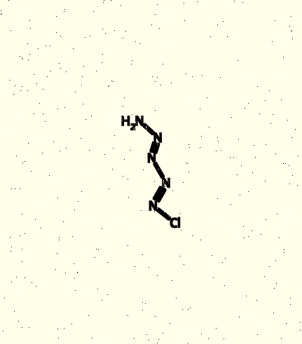 N/N=N/N=N/Cl